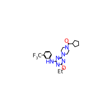 CCOc1nc(Nc2cccc(C(F)(F)F)c2)nc(N2CCN(C(=O)C3CCCC3)CC2)n1